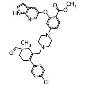 COC(=O)c1ccc(N2CCN(CC3=C(c4ccc(Cl)cc4)CC[C@@](C)(C=O)C3)CC2)cc1Oc1cnc2[nH]ccc2c1